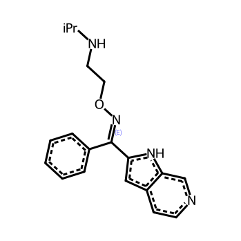 CC(C)NCCO/N=C(\c1ccccc1)c1cc2ccncc2[nH]1